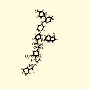 CC1(C)CCC(CN2CCN(c3ccc(C(=O)NS(=O)(=O)c4cc5c(c([N+](=O)[O-])c4)N[C@@H](CNC(=O)C4CCOCC4)CO5)c(Oc4cnc5[nH]ccc5c4)c3)CC2)=C(c2ccc(Cl)cc2)C1